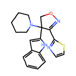 c1ccc2[nH]c(C3(N4CCCCC4)CON=C3c3nccs3)cc2c1